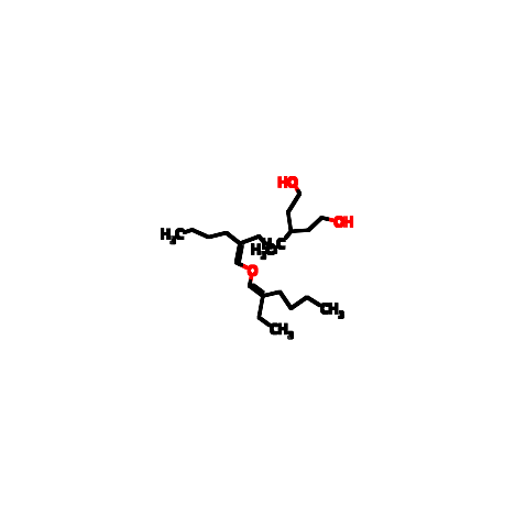 CC(CCO)CCO.CCCCC(=COC=C(CC)CCCC)CC